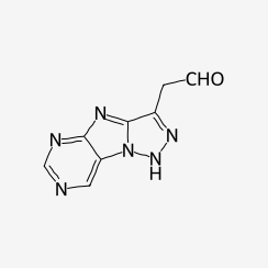 O=CCc1n[nH]n2c1nc1ncncc12